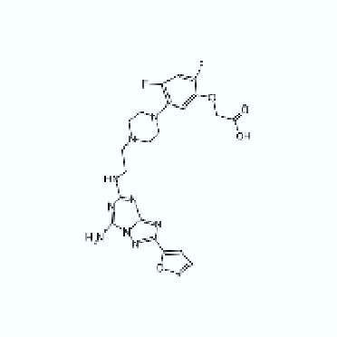 Nc1nc(NCCN2CCN(c3cc(OCC(=O)O)c(F)cc3F)CC2)nc2nc(-c3ccco3)nn12